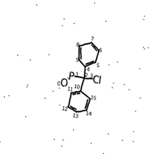 O=PC(Cl)(c1ccccc1)c1ccccc1